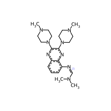 CN(C)/C=N\c1cccc2nc(N3CCN(C)CC3)c(N3CCN(C)CC3)nc12